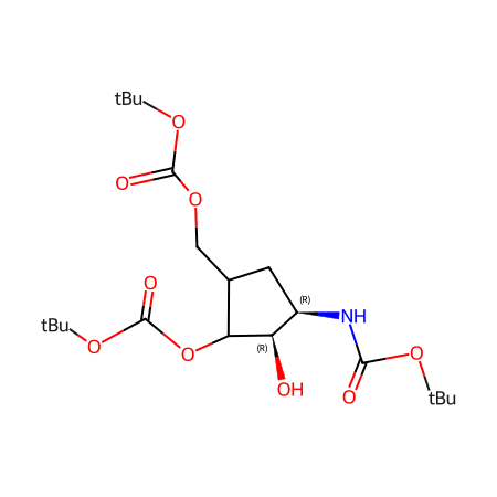 CC(C)(C)OC(=O)N[C@@H]1CC(COC(=O)OC(C)(C)C)C(OC(=O)OC(C)(C)C)[C@@H]1O